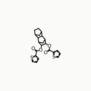 O=C(OC1C2CC(C1OC(=O)c1cccs1)C1C3CCC(C3)C21)c1cccs1